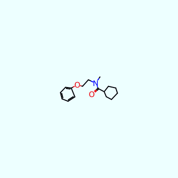 CN(CCOc1ccccc1)C(=O)C1CCCCC1